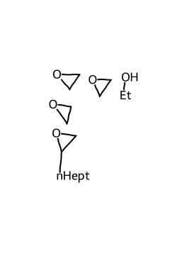 C1CO1.C1CO1.C1CO1.CCCCCCCC1CO1.CCO